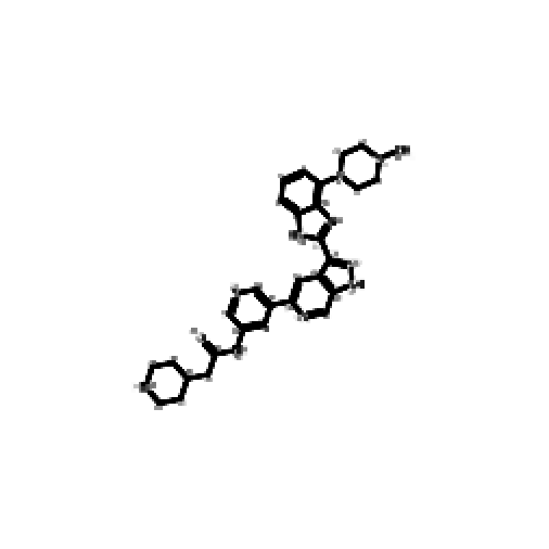 CN1CCN(c2cccc3[nH]c(-c4n[nH]c5cnc(-c6cncc(NC(=O)CC7CCNCC7)c6)cc45)nc23)CC1